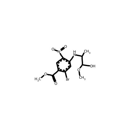 COC(=O)c1cc([N+](=O)[O-])c(NC(C)C(O)OC)cc1Br